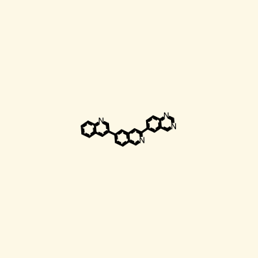 c1ccc2ncc(-c3ccc4cnc(-c5ccc6ncncc6c5)cc4c3)cc2c1